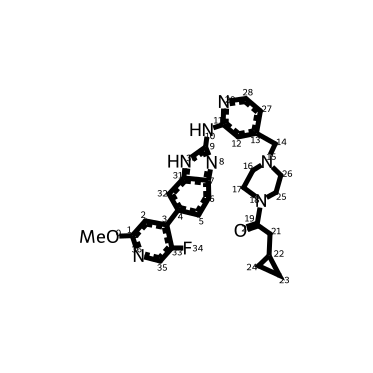 COc1cc(-c2ccc3nc(Nc4cc(CN5CCN(C(=O)CC6CC6)CC5)ccn4)[nH]c3c2)c(F)cn1